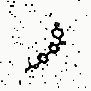 CCC1CCC(Nc2ncc(-c3ccc(OC(F)F)cc3)cn2)CC1